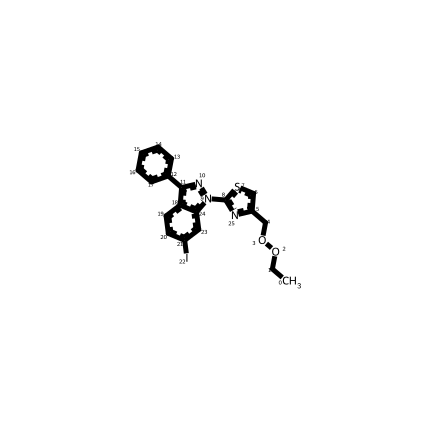 CCOOCc1csc(-n2nc(-c3ccccc3)c3ccc(I)cc32)n1